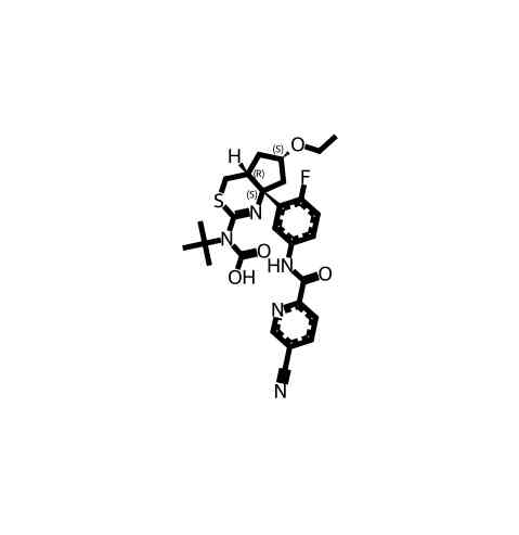 CCO[C@H]1C[C@H]2CSC(N(C(=O)O)C(C)(C)C)=N[C@@]2(c2cc(NC(=O)c3ccc(C#N)cn3)ccc2F)C1